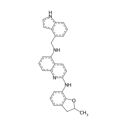 CC1Cc2cccc(Nc3ccc4c(NCc5cccc6[nH]ccc56)cccc4n3)c2O1